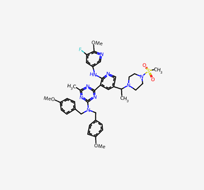 COc1ccc(CN(Cc2ccc(OC)cc2)c2nc(C)nc(-c3cc(C(C)N4CCN(S(C)(=O)=O)CC4)cnc3Nc3cnc(OC)c(F)c3)n2)cc1